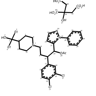 CCC(O)(CC)C1CCN(CCC(c2ccc(Cl)c(Cl)c2)C(OC(C)=O)c2ccnn2-c2ccccc2)CC1.O=C(O)CC(O)(CC(=O)O)C(=O)O